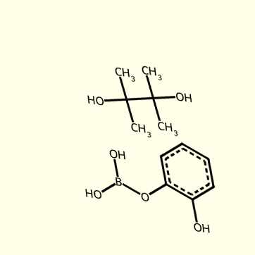 CC(C)(O)C(C)(C)O.OB(O)Oc1ccccc1O